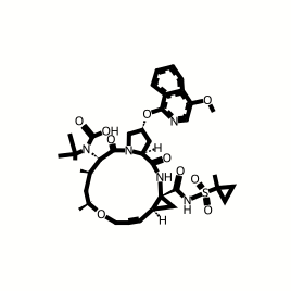 COc1cnc(O[C@@H]2C[C@H]3C(=O)N[C@]4(C(=O)NS(=O)(=O)C5(C)CC5)C[C@H]4/C=C\CO[C@@H](C)C[C@@H](C)[C@H](N(C(=O)O)C(C)(C)C)C(=O)N3C2)c2ccccc12